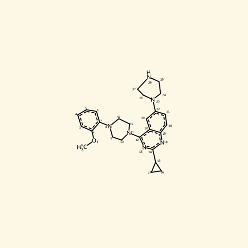 COc1ccccc1N1CCN(c2nc(C3CC3)nc3ccc(N4CCNCC4)cc23)CC1